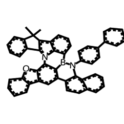 CC1(C)c2ccccc2-c2c1c1cccc3c1n2-c1c2c(cc4c1oc1ccccc14)-c1ccc4ccccc4c1N(c1ccc(-c4ccccc4)cc1)B23